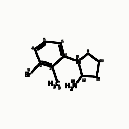 Cc1c(Br)cccc1N1CCCC1N